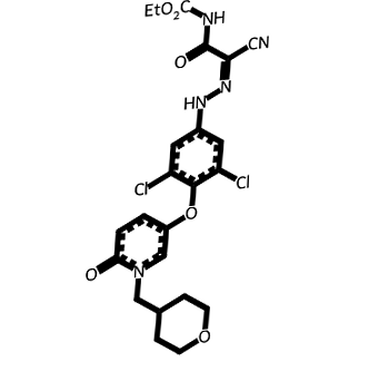 CCOC(=O)NC(=O)C(C#N)=NNc1cc(Cl)c(Oc2ccc(=O)n(CC3CCOCC3)c2)c(Cl)c1